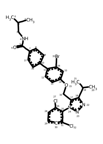 CC(C)CNC(=O)c1ccc(-c2ccc(OCc3c(C(C)C)nnn3-c3c(Cl)cccc3Cl)cc2Br)cc1